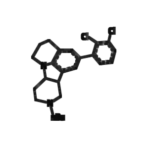 CCCCN1CCC2C(C1)c1cc(-c3cccc(Cl)c3Cl)cc3c1N2CCC3